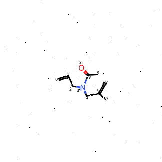 C=CCN(CC(=C)C)C(C)=O